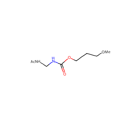 COCCCOC(=O)NCNC(C)=O